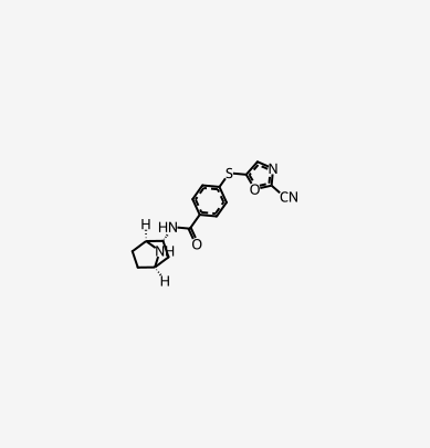 N#Cc1ncc(Sc2ccc(C(=O)N[C@@H]3C[C@H]4CC[C@@H]3N4)cc2)o1